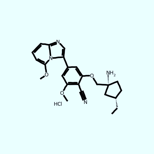 CC[C@H]1CC[C@](N)(COc2cc(-c3cnc4cccc(OC)n34)cc(OC)c2C#N)C1.Cl